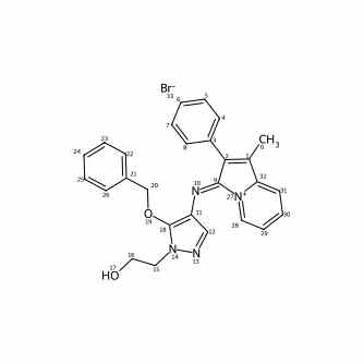 CC1=C(c2ccccc2)C(=Nc2cnn(CCO)c2OCc2ccccc2)[n+]2ccccc21.[Br-]